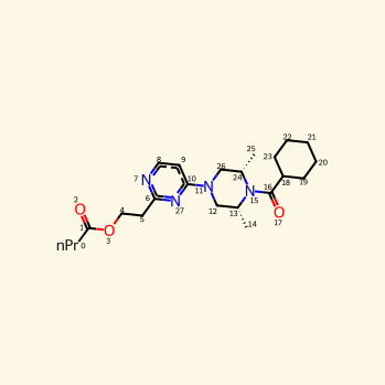 CCCC(=O)OCCc1nccc(N2C[C@@H](C)N(C(=O)C3CCCCC3)[C@@H](C)C2)n1